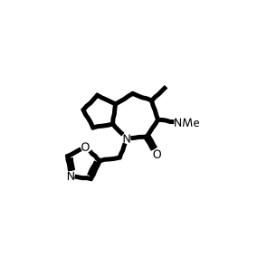 CNC1C(=O)N(Cc2cnco2)C2CCCC2CC1C